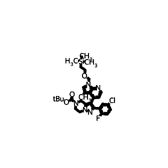 Cc1cn(COCC[Si](C)(C)C)c2nccc(-c3c(-c4cc(Cl)ccc4F)nn4c3CN(C(=O)OC(C)(C)C)CC4)c12